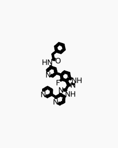 O=C(Cc1ccccc1)Nc1cncc(-c2ccc3[nH]nc(-c4nc5c(-c6cccnc6)nccc5[nH]4)c3c2F)c1